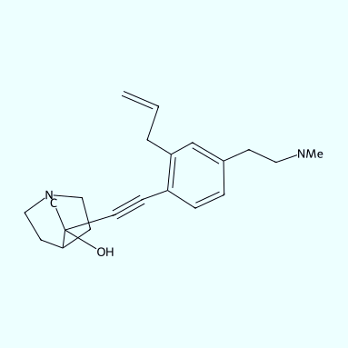 C=CCc1cc(CCNC)ccc1C#CC1(O)CN2CCC1CC2